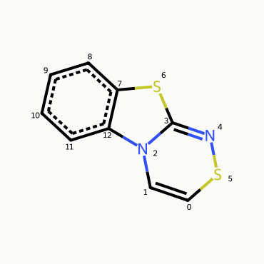 C1=CN2C(=NS1)Sc1ccccc12